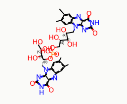 Cc1cc2nc3c(=O)[nH]c(=O)nc-3n(C[C@@H](O)[C@@H](O)[C@@H](O)COP(=O)(O)O[C@H](Cn3c4nc(=O)[nH]c(=O)c-4nc4cc(C)c(C)cc43)[C@@H](O)[C@@H](O)CO)c2cc1C